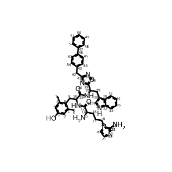 Cc1cc(O)cc(C)c1CC(NC(=O)C(N)CCCn1ccnc1N)C(=O)NC(Cc1c[nH]c2ccccc12)c1nc(Cc2ccc(-c3ccccc3)cc2)no1